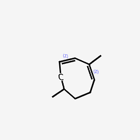 CC1=C/CCC(C)C/C=C\1